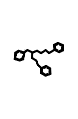 [CH](c1ccccc1)C(CCCCc1ccccc1)CCCc1ccccc1